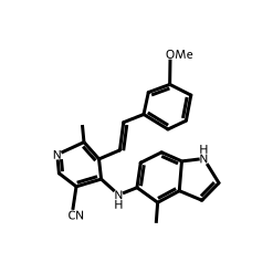 COc1cccc(/C=C/c2c(C)ncc(C#N)c2Nc2ccc3[nH]ccc3c2C)c1